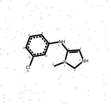 CN1CNC=C1Nc1cccc(Cl)c1